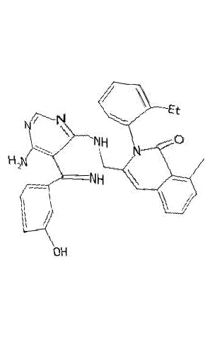 CCc1ccccc1-n1c(CNc2ncnc(N)c2C(=N)c2cccc(O)c2)cc2cccc(C)c2c1=O